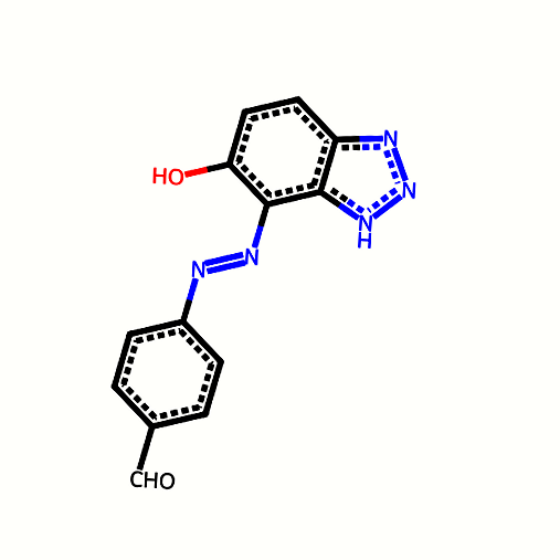 O=Cc1ccc(/N=N/c2c(O)ccc3nn[nH]c23)cc1